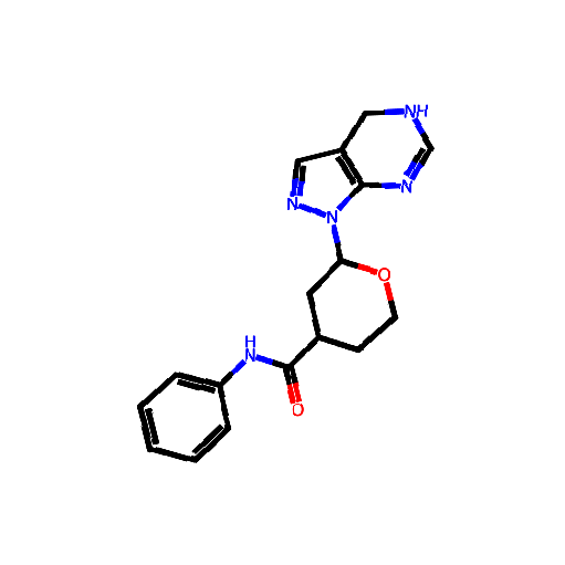 O=C(Nc1ccccc1)C1CCOC(n2ncc3c2N=CNC3)C1